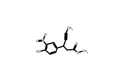 CC#CC(CC(=O)OC)c1ccc(O)c([N+](=O)[O-])c1